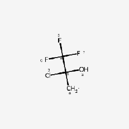 [CH2]C(O)(Cl)C(F)(F)F